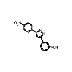 N#Cc1cccc(-c2cn(-c3ccc([N+](=O)[O-])cn3)nn2)c1